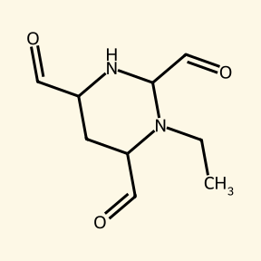 CCN1C(C=O)CC(C=O)NC1C=O